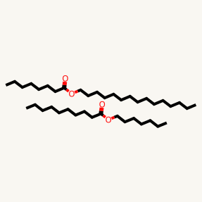 CCCCCCCCCC(=O)OCCCCCCC.CCCCCCCCCCCCCCCOC(=O)CCCCCCC